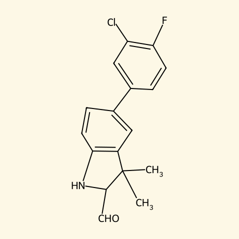 CC1(C)c2cc(-c3ccc(F)c(Cl)c3)ccc2NC1C=O